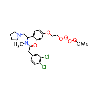 COOOOOCCOc1ccc(C(CN2CCCC2)N(C)C(=O)Cc2ccc(Cl)c(Cl)c2)cc1